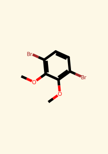 COc1c(Br)ccc(Br)c1OC